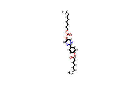 CCCCCCCCOC(=O)Oc1cnc(-c2ccc(OC(=O)CCCCCC)cc2)nc1